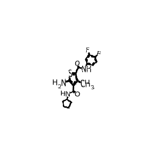 Cc1c(C(=O)Nc2ccc(F)c(F)c2)sc(N)c1C(=O)NC1CCCC1